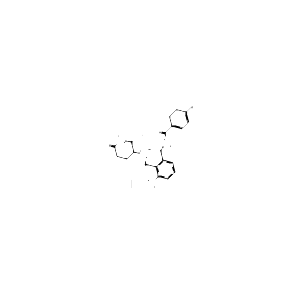 CC(C)N(C(=O)c1c(N)cccc1CNC(=O)C1=CC=C(I)CC1)C1CCC(=O)NC1=O